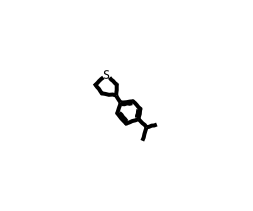 CC(C)c1ccc(C2CCSC2)cc1